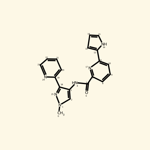 Cn1cc(NC(=O)c2cccc(-c3ccc[nH]3)n2)c(-c2ccccn2)n1